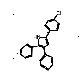 Clc1ccc(-c2cc(-c3ccccc3)c(-c3ccccc3)[nH]2)cc1